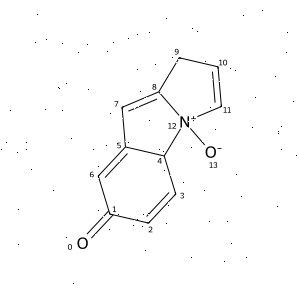 O=C1C=CC2C(=C1)C=C1CC=C[N+]12[O-]